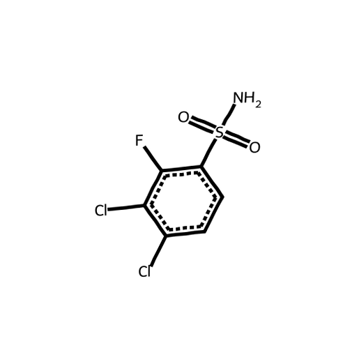 NS(=O)(=O)c1ccc(Cl)c(Cl)c1F